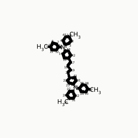 Cc1ccc(N(c2ccc(C)cc2)c2ccc(C=CC=Cc3ccc(N(c4ccc(C)cc4)c4ccc(C)cc4)cc3)cc2)cc1